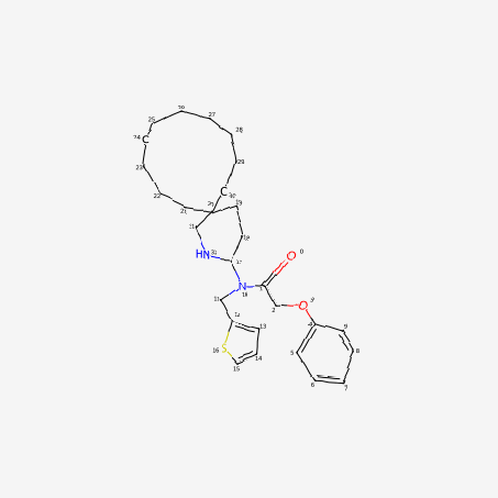 O=C(COc1ccccc1)N(Cc1cccs1)C1CCC2(CCCCCCCCCC2)CN1